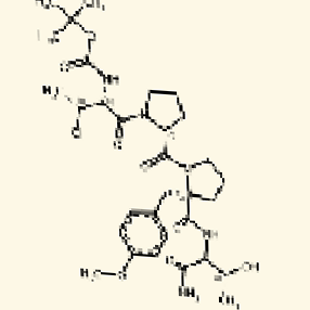 COc1ccc(C[C@@]2(C(=O)NC(C(N)=O)[C@@H](C)O)CCCN2C(=O)[C@@H]2CCCN2C(=O)[C@@H](NC(=O)OC(C)(C)C)[C@@H](C)O)cc1